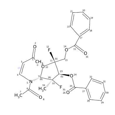 CC(=O)/C=C\N(C(C)=O)[C@@H]1O[C@](F)(COC(=O)c2ccccc2)[C@@H](OC(=O)c2ccccc2)[C@@]1(C)F